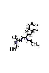 C=C/C=C(/C=N/C(Cl)=N\C=N)c1cc2ccccc2s1